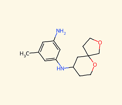 Cc1cc(N)cc(NC2CCOC3(CCOC3)C2)c1